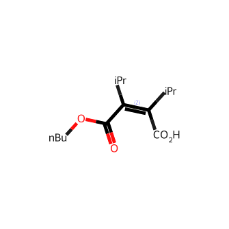 CCCCOC(=O)/C(=C(\C(=O)O)C(C)C)C(C)C